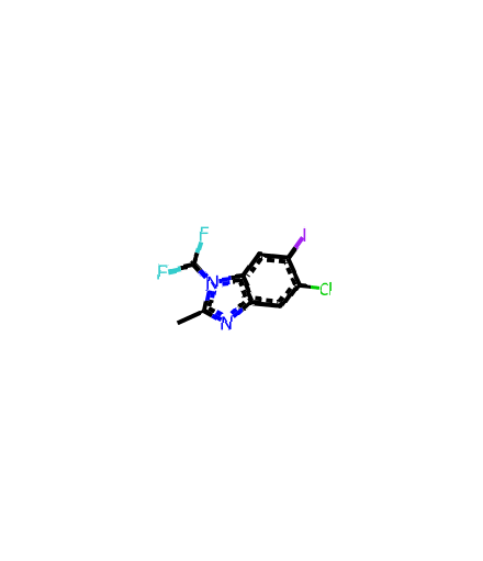 Cc1nc2cc(Cl)c(I)cc2n1C(F)F